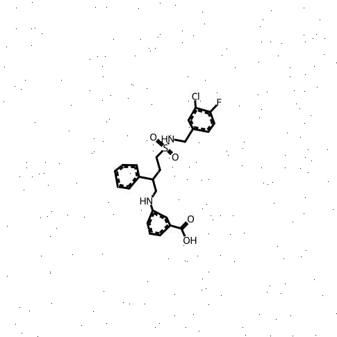 O=C(O)c1cccc(NCC(CCS(=O)(=O)NCc2ccc(F)c(Cl)c2)c2ccccc2)c1